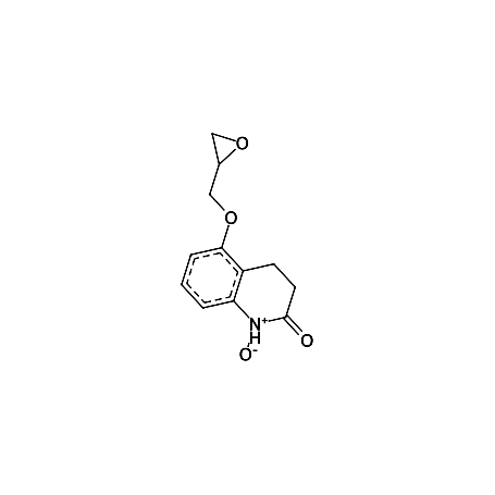 O=C1CCc2c(OCC3CO3)cccc2[NH+]1[O-]